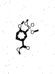 COC(=O)c1ccc(OC)c(P(=O)(OC)OC)c1